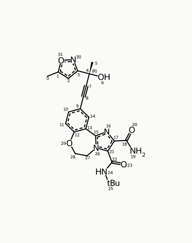 Cc1cc([C@](C)(O)C#Cc2ccc3c(c2)-c2nc(C(N)=O)c(C(=O)NC(C)(C)C)n2CCO3)no1